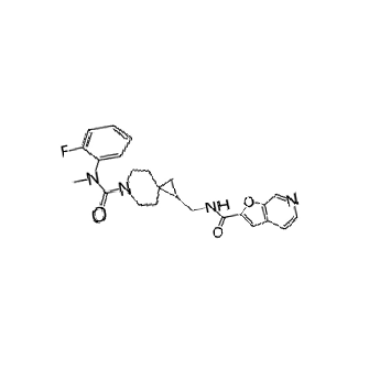 CN(C(=O)N1CCC2(CC1)CC2CNC(=O)c1cc2ccncc2o1)c1ccccc1F